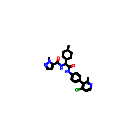 Cc1nccc(Cl)c1-c1ccc(NC(=O)C(NC(=O)c2ccnn2C)C2CCC(C)CC2)cc1